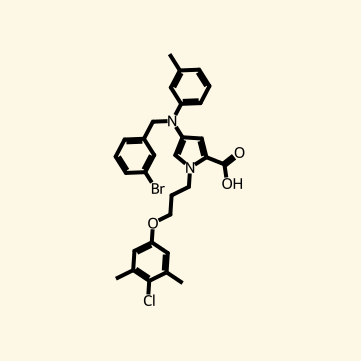 Cc1cccc(N(Cc2cccc(Br)c2)c2cc(C(=O)O)n(CCCOc3cc(C)c(Cl)c(C)c3)c2)c1